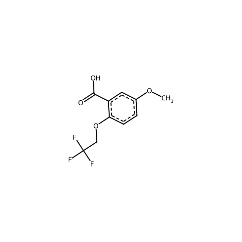 COc1ccc(OCC(F)(F)F)c(C(=O)O)c1